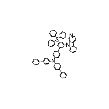 c1ccc(-c2ccc(N(c3ccc(-c4ccccc4)cc3)c3ccc(-c4cc(-n5c6ccccc6c6ccncc65)cc(S(c5ccccc5)(c5ccccc5)c5ccccc5)c4)cc3)cc2)cc1